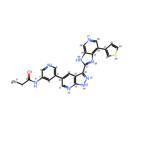 CC(C)CC(=O)Nc1cncc(-c2cnc3[nH]nc(-c4nc5c(-c6ccsc6)cncc5[nH]4)c3c2)c1